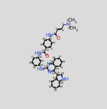 CN(C)C/C=C/C(=O)Nc1ccc(C(=O)Nc2cccc(Nc3nc(-c4c[nH]c5ccccc45)c4ccccc4n3)c2)cc1